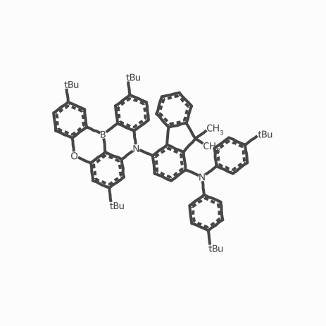 CC(C)(C)c1ccc(N(c2ccc(C(C)(C)C)cc2)c2ccc(N3c4ccc(C(C)(C)C)cc4B4c5cc(C(C)(C)C)ccc5Oc5cc(C(C)(C)C)cc3c54)c3c2C(C)(C)c2ccccc2-3)cc1